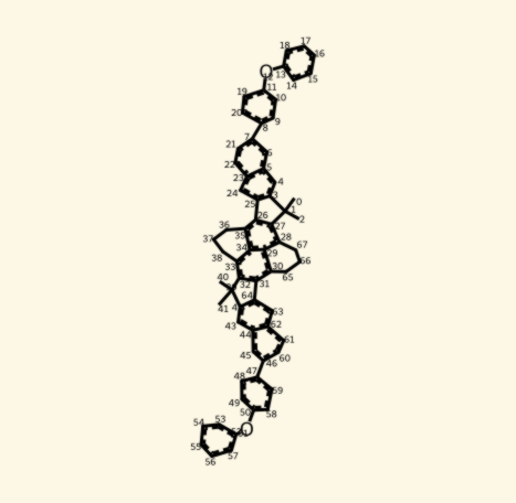 CC1(C)c2cc3cc(-c4ccc(Oc5ccccc5)cc4)ccc3cc2-c2c1c1c3c(c4c(c5c3c2CCC5)C(C)(C)c2cc3cc(-c5ccc(Oc6ccccc6)cc5)ccc3cc2-4)CCC1